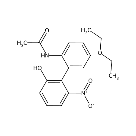 CC(=O)Nc1ccccc1-c1c(O)cccc1[N+](=O)[O-].CCOCC